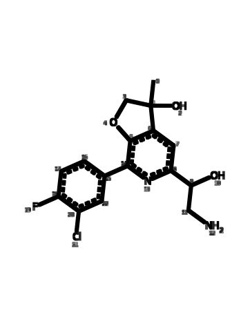 CC1(O)COc2c1cc(C(O)CN)nc2-c1ccc(F)c(Cl)c1